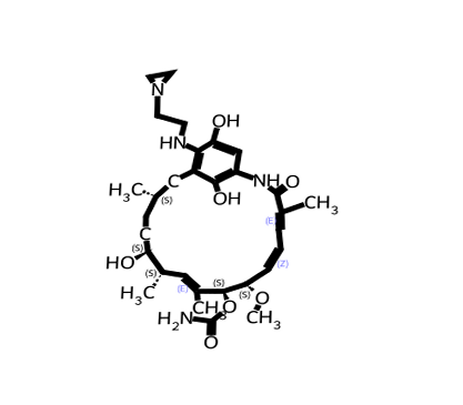 CO[C@H]1/C=C\C=C(/C)C(=O)Nc2cc(O)c(NCCN3CC3)c(c2O)C[C@@H](C)CC[C@H](O)[C@@H](C)/C=C(\C)[C@@H]1OC(N)=O